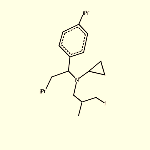 CC(C)CC(c1ccc(C(C)C)cc1)N(CC(C)CI)C1CC1